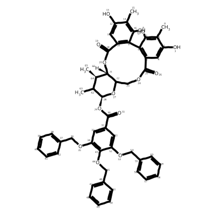 Cc1c(O)cc2c(c1O)-c1c(cc(O)c(C)c1O)C(=O)O[C@@H]1C(COC2=O)O[C@@H](OC(=O)c2cc(OCc3ccccc3)c(OCc3ccccc3)c(OCc3ccccc3)c2)C(C)[C@H]1C